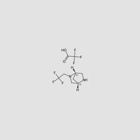 FC(F)(F)CN1C[C@@H]2C[C@H]1CN2.O=C(O)C(F)(F)F